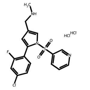 CNCc1cc(-c2ccc(Cl)cc2F)n(S(=O)(=O)c2cccnc2)c1.Cl.Cl